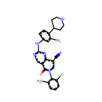 Cc1cc(Nc2ncc3c(=O)n(-c4c(C)cccc4Cl)cc(C#N)c3n2)ccc1C1CCNCC1